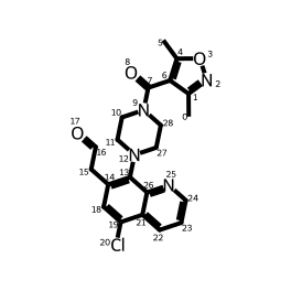 Cc1noc(C)c1C(=O)N1CCN(c2c(CC=O)cc(Cl)c3cccnc23)CC1